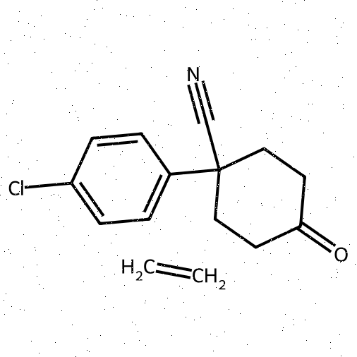 C=C.N#CC1(c2ccc(Cl)cc2)CCC(=O)CC1